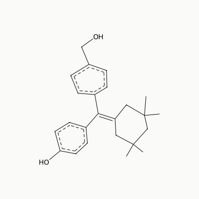 CC1(C)CC(=C(c2ccc(O)cc2)c2ccc(CO)cc2)CC(C)(C)C1